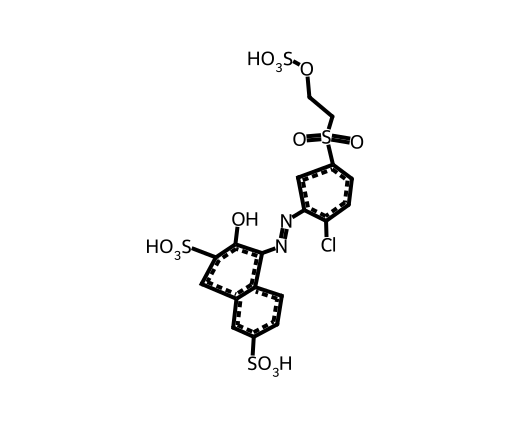 O=S(=O)(O)OCCS(=O)(=O)c1ccc(Cl)c(N=Nc2c(O)c(S(=O)(=O)O)cc3cc(S(=O)(=O)O)ccc23)c1